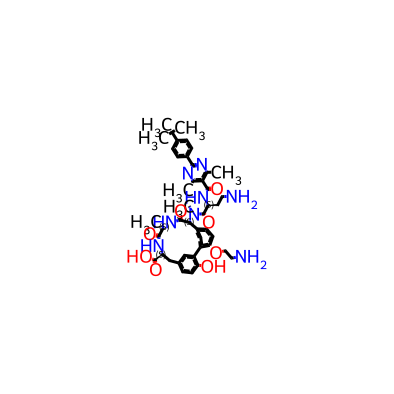 Cc1nc(-c2ccc(C(C)(C)C)cc2)nc(C)c1C(=O)N[C@@H](CCN)C(=O)N(C)[C@@H]1C(=O)N[C@@H](C)C(=O)N[C@H](C(=O)O)Cc2ccc(O)c(c2)-c2cc1ccc2OCCN